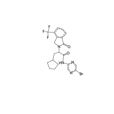 O=C(Nc1cnc(Br)cn1)C(CC1CCCC1)N1Cc2c(cccc2C(F)(F)F)C1=O